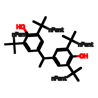 CCCCCC(C)(C)c1cc(C(C)c2cc(C(C)(C)CCCCC)c(O)c(C(C)(C)CCCCC)c2)cc(C(C)(C)CCCCC)c1O